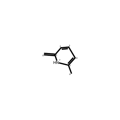 C=C1C=CC=C(C)N1